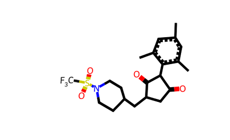 Cc1cc(C)c(C2C(=O)CC(CC3CCN(S(=O)(=O)C(F)(F)F)CC3)C2=O)c(C)c1